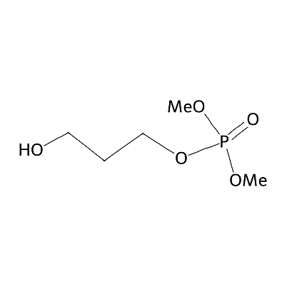 COP(=O)(OC)OCCCO